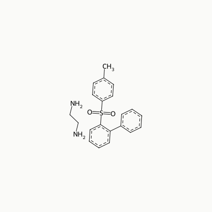 Cc1ccc(S(=O)(=O)c2ccccc2-c2ccccc2)cc1.NCCN